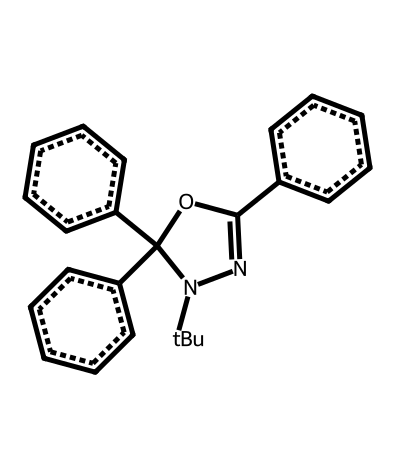 CC(C)(C)N1N=C(c2ccccc2)OC1(c1ccccc1)c1ccccc1